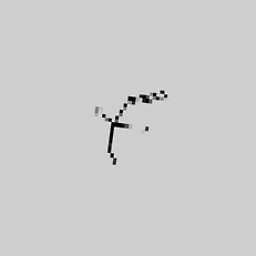 CCC(F)(F)C=O